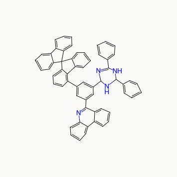 c1ccc(C2=NC(c3cc(-c4cccc5c4-c4ccccc4C54c5ccccc5-c5ccccc54)cc(-c4nc5ccccc5c5ccccc45)c3)NC(c3ccccc3)N2)cc1